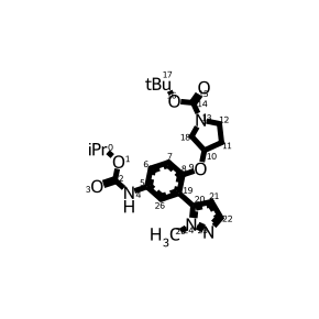 CC(C)OC(=O)Nc1ccc(OC2CCN(C(=O)OC(C)(C)C)C2)c(-c2ccnn2C)c1